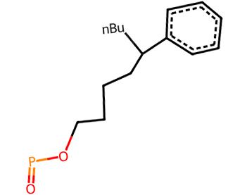 CCCCC(CCCCOP=O)c1ccccc1